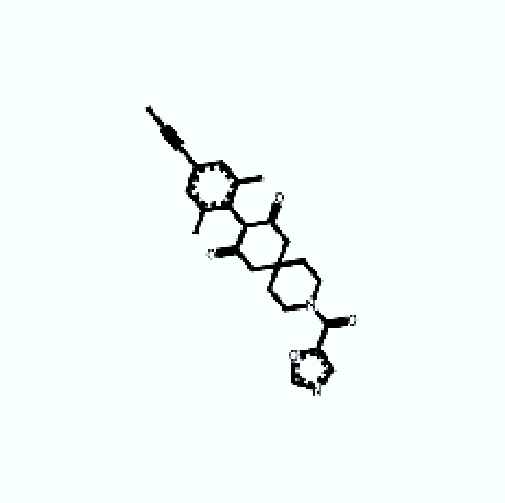 CC#Cc1cc(C)c(C2C(=O)CC3(CCN(C(=O)c4cnco4)CC3)CC2=O)c(C)c1